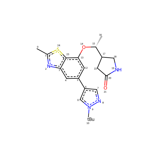 Cc1nc2cc(-c3cnn(C(C)(C)C)c3)cc(O[C@H](C)C3CNC(=O)C3)c2s1